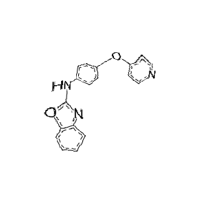 c1ccc2oc(Nc3ccc(Oc4ccncc4)cc3)nc2c1